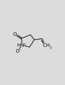 C=CC1CC(=O)[NH+]([O-])C1